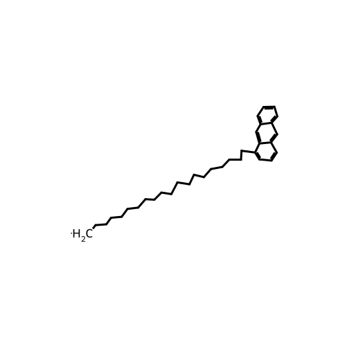 [CH2]CCCCCCCCCCCCCCCCCCCc1cccc2cc3ccccc3cc12